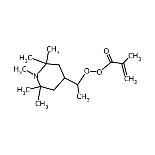 C=C(C)C(=O)OOC(C)C1CC(C)(C)N(C)C(C)(C)C1